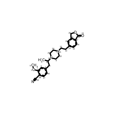 COc1cc(CC(C)N2CCN(CCc3ccc4c(c3)COC4=O)CC2)ccc1C#N